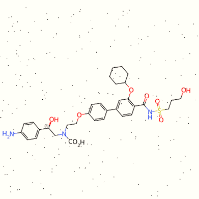 Nc1ccc([C@@H](O)CN(CCOc2ccc(-c3ccc(C(=O)NS(=O)(=O)CCCO)c(OC4CCCCC4)c3)cc2)C(=O)O)cc1